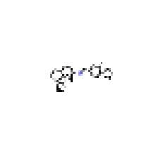 COc1ccc(/C=C/c2ccc3cccc(OC)c3n2)cc1C